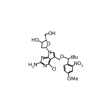 COc1ccc(C(OCc2cn([C@H]3CC(O)[C@@H](CO)O3)c3nc(N)nc(Cl)c23)C(C)(C)C)c([N+](=O)[O-])c1